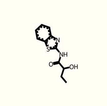 CCC(O)C(=O)Nc1nc2ccccc2s1